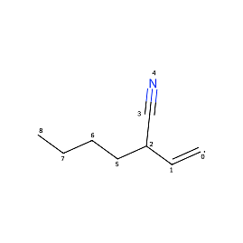 [CH]=CC(C#N)CCCC